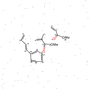 C=C(C)C(=O)OC.C=CC(=O)OC.C=CC=Cc1ccccc1